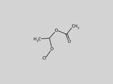 CC(=O)OC(C)OCl